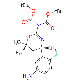 CC(C)(C)OC(=O)N(C(=O)OC(C)(C)C)C1=N[C@](C)(c2cc(N)ccc2F)C[C@@](C)(C(F)(F)F)O1